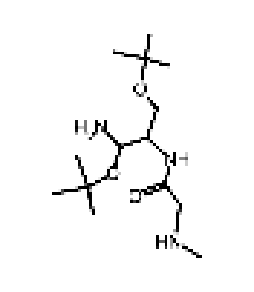 CNCC(=O)NC(COC(C)(C)C)C(N)OC(C)(C)C